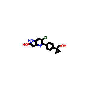 OCC1(c2ccc(-c3nc4cc(O)[nH]c4cc3Cl)cc2)CC1